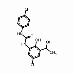 CC(O)c1cc(Cl)cc(NC(=O)Nc2ccc(Cl)cc2)c1O